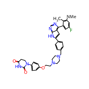 CNc1cc(F)cc(-c2ncnc3[nH]c(-c4ccc(CN5CCN(CCOc6ccc(N7CCC(=O)NC7=O)cc6)CC5)cc4)cc23)c1C